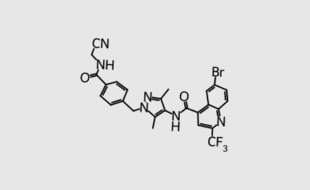 Cc1nn(Cc2ccc(C(=O)NCC#N)cc2)c(C)c1NC(=O)c1cc(C(F)(F)F)nc2ccc(Br)cc12